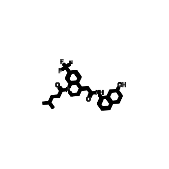 CC(C)CCC(=O)N1CCC(=CC(=O)Nc2cccc3c2CC(O)CC3)c2ccc(C(F)(F)F)cc21